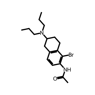 CCCN(CCC)C1CCc2c(ccc(NC(C)=O)c2Br)C1